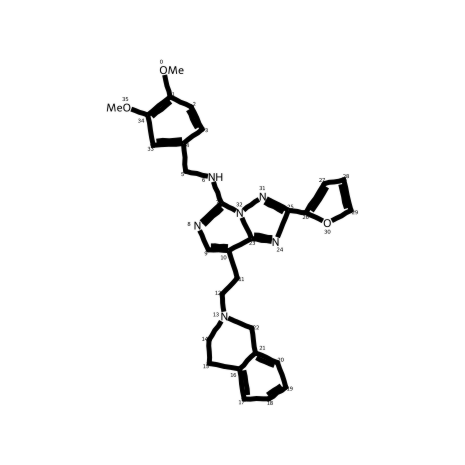 COc1ccc(CNc2ncc(CCN3CCc4ccccc4C3)c3nc(-c4ccco4)nn23)cc1OC